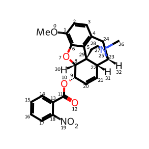 COc1ccc2c3c1O[C@H]1[C@@H](OC(=O)c4ccccc4[N+](=O)[O-])C=C[C@H]4[C@@H](C2)N(C)CC[C@@]341